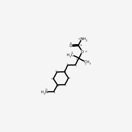 CC(C)(CCC1CCC(CN)CC1)OC(N)=O